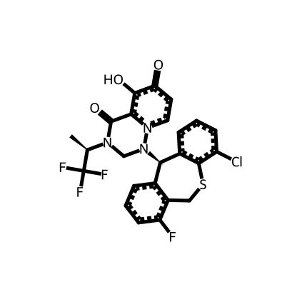 C[C@@H](N1CN([C@@H]2c3cccc(F)c3CSc3c(Cl)cccc32)n2ccc(=O)c(O)c2C1=O)C(F)(F)F